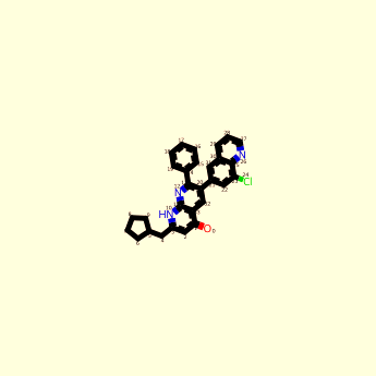 O=c1cc(CC2CCCC2)[nH]c2nc(-c3ccccc3)c(-c3cc(Cl)c4ncccc4c3)cc12